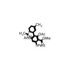 C=C(C)[C@@H]1CCC(C)=CC1c1c(OC(C)=O)cc(CCCCC)c(C(=O)OC)c1OC(C)=O